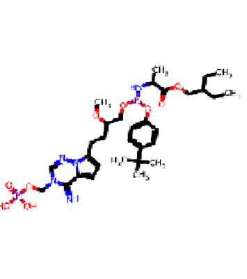 CCC(CC)COC(=O)[C@H](C)NP(OCC(CCc1ccc2c(=N)n(COP(=O)(O)O)cnn12)OC)Oc1ccc(C(C)(C)C)cc1